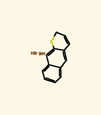 Br.Br.C1=Cc2cc3ccccc3cc2SC1